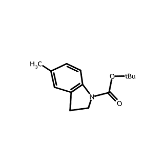 Cc1ccc2c(c1)CCN2C(=O)OC(C)(C)C